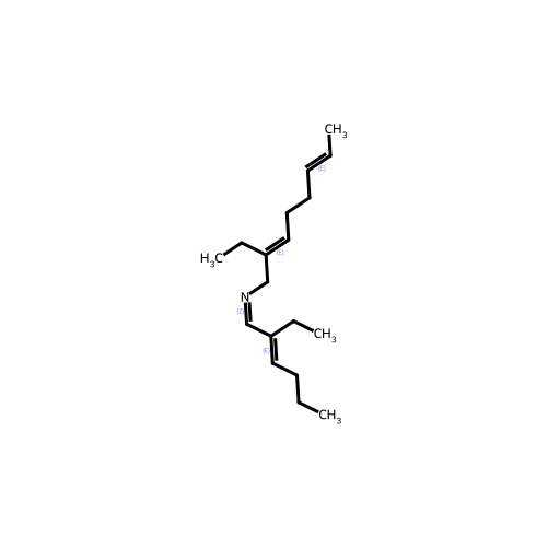 C/C=C/CC/C=C(\CC)C/N=C\C(=C\CCC)CC